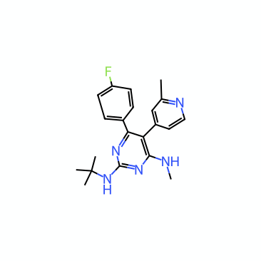 CNc1nc(NC(C)(C)C)nc(-c2ccc(F)cc2)c1-c1ccnc(C)c1